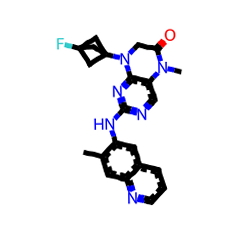 Cc1cc2ncccc2cc1Nc1ncc2c(n1)N(C13CC(F)(C1)C3)CC(=O)N2C